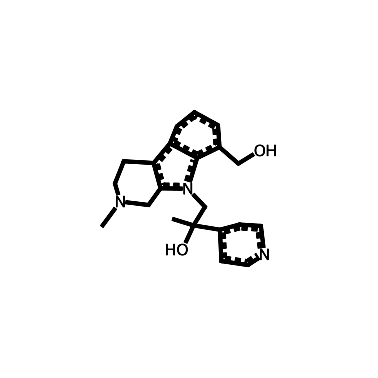 CN1CCc2c(n(CC(C)(O)c3ccncc3)c3c(CO)cccc23)C1